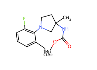 CC(=O)OCc1cccc(F)c1N1CCC(C)(NC(=O)OC(C)(C)C)C1